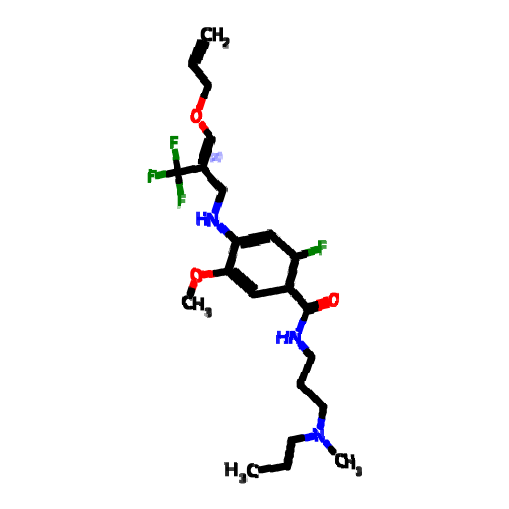 C=CCO/C=C(/CNC1=CC(F)C(C(=O)NCCCN(C)CCC)C=C1OC)C(F)(F)F